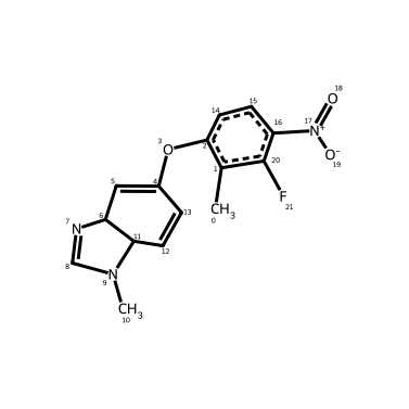 Cc1c(OC2=CC3N=CN(C)C3C=C2)ccc([N+](=O)[O-])c1F